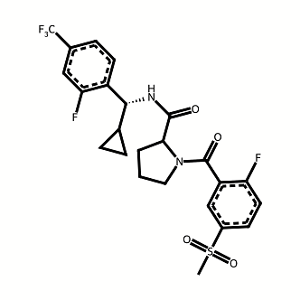 CS(=O)(=O)c1ccc(F)c(C(=O)N2CCCC2C(=O)N[C@@H](c2ccc(C(F)(F)F)cc2F)C2CC2)c1